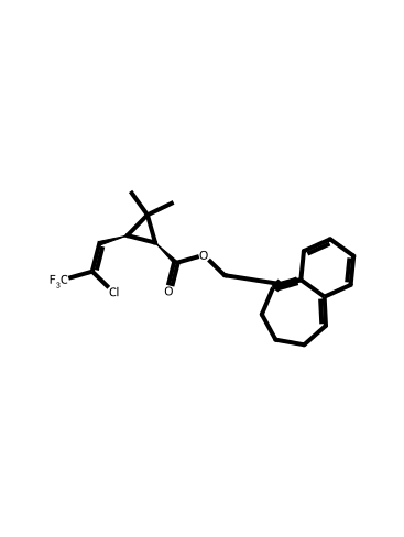 CC1(C)[C@H](C=C(Cl)C(F)(F)F)[C@@H]1C(=O)OCC1=C2CCCC=C3C=CC=CC32CC=C1